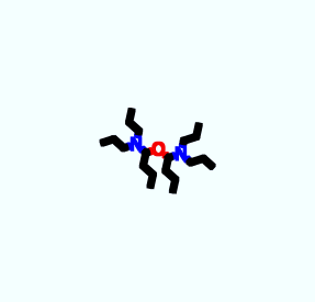 CCCC(OC(CCC)N(CCC)CCC)N(CCC)CCC